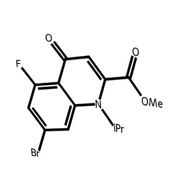 COC(=O)c1cc(=O)c2c(F)cc(Br)cc2n1C(C)C